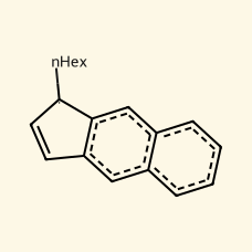 CCCCCC[C]1C=Cc2cc3ccccc3cc21